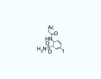 CC(=O)CC(=O)NC1C=CC(I)=CC1S(N)(=O)=O